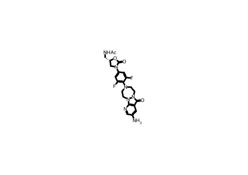 CC(=O)NC[C@H]1CN(c2cc(F)c(N3CCn4c(=O)c5cc(N)cnc5n4CC3)c(F)c2)C(=O)O1